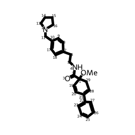 COC1(C(=O)NCCc2ccc(CN3CCCC3)cc2)C=CC(c2ccccc2)=CC1